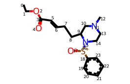 CCOC(=O)/C=C/CCC1CN(C)CCN1[S+]([O-])c1ccccc1